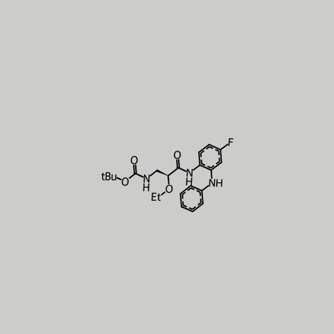 CCO[C@@H](CNC(=O)OC(C)(C)C)C(=O)Nc1ccc(F)cc1Nc1ccccc1